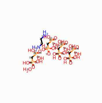 NCCN.O.O=P(O)(O)CP(=O)(O)O.O=P(O)(O)CP(=O)(O)O.O=P(O)(O)CP(=O)(O)O.O=P(O)(O)CP(=O)(O)O